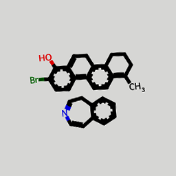 C1=Cc2ccccc2CC=N1.CC1=c2ccc3c(c2CCC1)CC=c1c(O)c(Br)ccc1=3